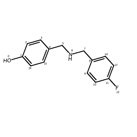 Oc1ccc(CNCc2ccc(F)cc2)cc1